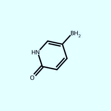 Bc1ccc(=O)[nH]c1